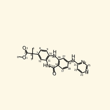 COC(=O)C(C)(C)c1ccc2c(c1)NC(=O)c1ccc(Nc3ccncn3)cc1N2